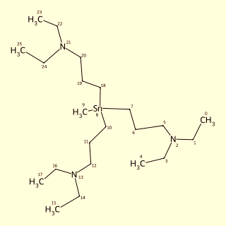 CCN(CC)CC[CH2][Sn]([CH3])([CH2]CCN(CC)CC)[CH2]CCN(CC)CC